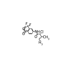 CC(C)C(Cl)C(=O)Nc1ccc([N+](=O)[O-])c(C(F)(F)F)c1